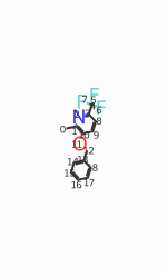 Cc1nc(C(F)(F)F)ccc1OCc1ccccc1